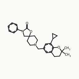 CC1(C)CCc2cc(CN3CCC4(CC3)CN(c3ccccc3)C(=O)O4)cc(C3CC3)c2O1